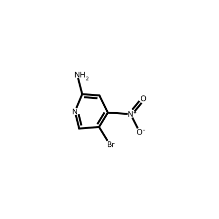 Nc1cc([N+](=O)[O-])c(Br)cn1